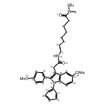 CCCCN(C)C(=O)CCCCCCCNC(=O)Cc1c(-c2ccc(OC)cc2)n(-c2ccccc2)c2ccc(OC)cc12